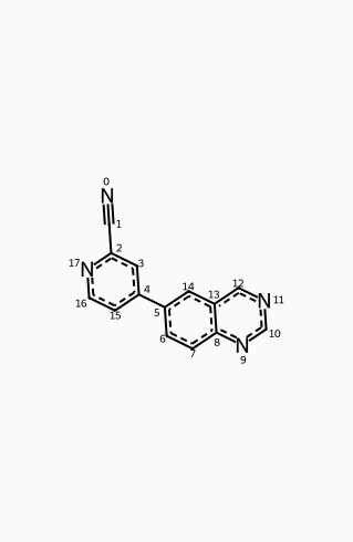 N#Cc1cc(-c2ccc3ncncc3c2)ccn1